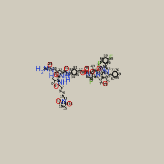 CC(C)[C@H](NC(=O)CCCCCN1C(=O)C=CC1=O)C(=O)NC(CCCNC(N)=O)C(=O)Nc1ccc(COC(=O)N2C[C@@H](CN(C(=O)[C@H](C)O)[C@H](c3nc(-c4cc(F)ccc4F)cn3Cc3ccccc3)C3CCOCC3)[C@@H](F)C2)cc1